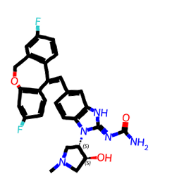 CN1C[C@H](O)[C@@H](n2c(=NC(N)=O)[nH]c3cc(C=C4c5ccc(F)cc5COc5cc(F)ccc54)ccc32)C1